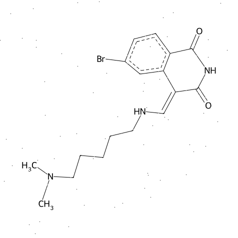 CN(C)CCCCCN/C=C1/C(=O)NC(=O)c2ccc(Br)cc21